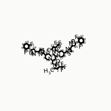 Cc1cc(C(F)(F)F)nn1CC(C(=O)C(Cn1nc(C(F)(F)F)cc1C)N1CCC(c2nc(C3=NO[C@H](c4c(F)cccc4F)C3)cs2)CC1)N1CCC(c2nc(C3=NO[C@H](c4c(F)cccc4F)C3)cs2)CC1